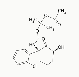 CC(=O)OC(C)(C)OCN[C@]1(c2ccccc2Cl)CCC[C@H](O)C1=O